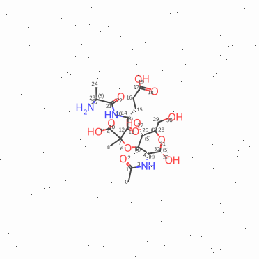 CC(=O)N[C@@H]1[C@@H](OC(C)(C(=O)O)C(=O)[C@@H](CCC(=O)O)NC(=O)[C@H](C)N)[C@H](O)[C@@H](CO)O[C@@H]1O